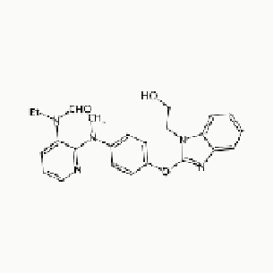 CCN(C=O)c1cccnc1N(C)c1ccc(Oc2nc3ccccc3n2CCO)cc1